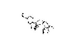 C=CC1CCC(C2Cc3cc(CC)c(F)c(F)c3C2(F)F)CC1